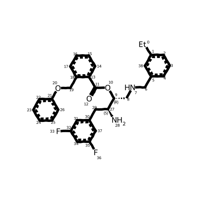 CCc1cccc(CNC[C@@H](OC(=O)c2ccccc2COc2ccccc2)[C@@H](N)Cc2cc(F)cc(F)c2)c1